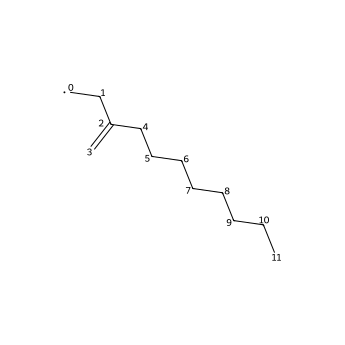 [CH2]CC(=C)CCCCCCCC